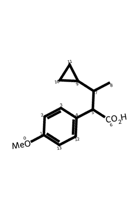 COc1ccc(C(C(=O)O)C(C)C2CC2)cc1